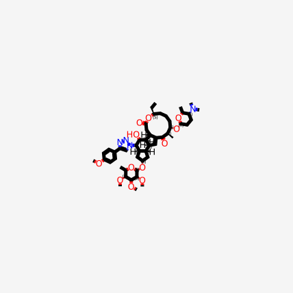 CC[C@H]1CCC[C@H](O[C@H]2CC[C@H](N(C)C)C(C)O2)[C@@H](C)C(=O)C2=C[C@H]3[C@@H]4C[C@H](O[C@@H]5OC(C)[C@H](OC)C(OC)[C@@H]5OC)C[C@H]4C(n4cc(-c5ccc(OC)cc5)nn4)C(O)[C@H]3[C@@H]2CC(=O)O1